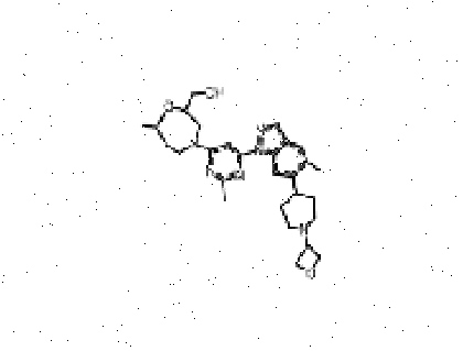 Cc1nc(N2CCC(C)OC(CO)C2)cc(-n2ncc3cc(C)c(C4CCN(C5COC5)CC4)cc32)n1